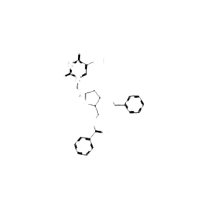 Cc1cn(C[C@H]2C[C@H](OCc3ccccc3)C(COC(=O)c3ccccc3)O2)c(=O)[nH]c1=O